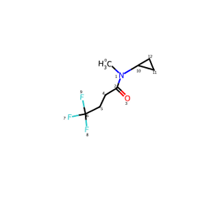 CN(C(=O)CCC(F)(F)F)C1CC1